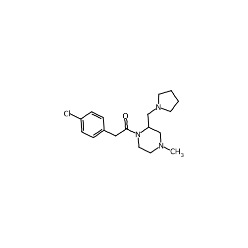 CN1CCN(C(=O)Cc2ccc(Cl)cc2)C(CN2CCCC2)C1